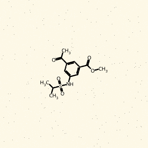 COC(=O)c1cc(NS(=O)(=O)C(C)C)cc(C(C)=O)c1